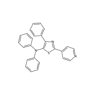 c1ccc(-c2nc(-c3ccncc3)sc2N(c2ccccc2)c2ccccc2)cc1